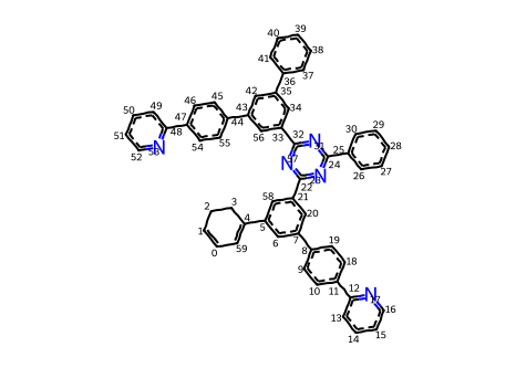 C1=CCCC(c2cc(-c3ccc(-c4ccccn4)cc3)cc(-c3nc(-c4ccccc4)nc(-c4cc(-c5ccccc5)cc(-c5ccc(-c6ccccn6)cc5)c4)n3)c2)=C1